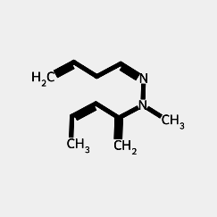 C=CC/C=N\N(C)C(=C)/C=C\C